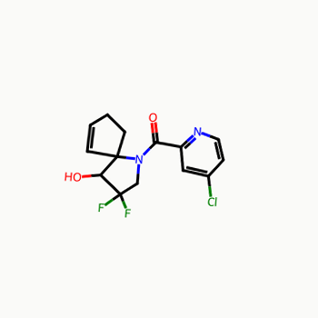 O=C(c1cc(Cl)ccn1)N1CC(F)(F)C(O)C12C=CCC2